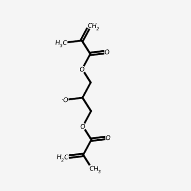 C=C(C)C(=O)OCC([O])COC(=O)C(=C)C